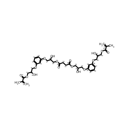 C=C(C)C(=O)OCC(O)COc1cccc(OCC(O)COC(=O)CCC(=O)OCC(O)COc2cccc(OCC(O)COC(=O)C(=C)C)c2)c1